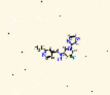 Cc1cc(CNC2CC(F)CN(c3cnccn3)C2)ccn1